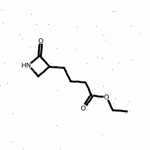 CCOC(=O)CCCC1CNC1=O